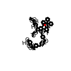 CO[C@@H](C)COc1cc(N2C[C@@H]3C[C@H]2CN3C(=O)OC(C)(C)C)c2cc(C3CC3)c(-c3c(C)c(F)cc4nn(C(c5ccccc5)(c5ccccc5)c5ccccc5)cc34)c(OCc3ccc(C(=O)N4CCN(Cc5ccc6c(c5)n(C)c(=O)n6C5CCC(=O)NC5=O)C[C@@H]4C)cc3)c2n1